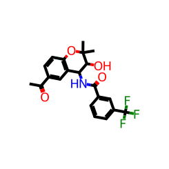 CC(=O)c1ccc2c(c1)C(NC(=O)c1cccc(C(F)(F)F)c1)C(O)C(C)(C)O2